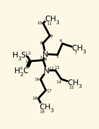 C=C([SiH3])C(N(CCC)CCCC)N(CCC)CCCC